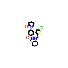 O=c1ccccn1-c1ccc(S(=O)(=O)C[C@H]2CCCC[C@H]2NCc2ccc(Cl)s2)cc1